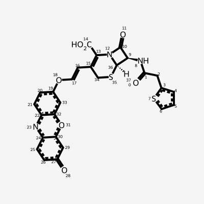 O=C(Cc1cccs1)N[C@@H]1C(=O)N2C(C(=O)O)=C(C=COc3ccc4nc5ccc(=O)cc-5oc4c3)CS[C@H]12